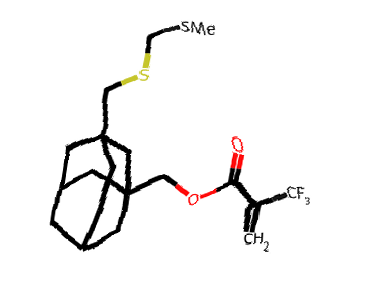 C=C(C(=O)OCC12CC3CC(C1)CC(CSCSC)(C3)C2)C(F)(F)F